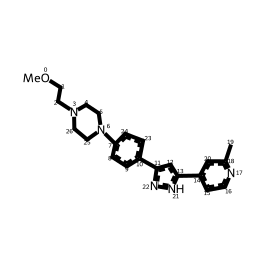 COCCN1CCN(c2ccc(-c3cc(-c4ccnc(C)c4)[nH]n3)cc2)CC1